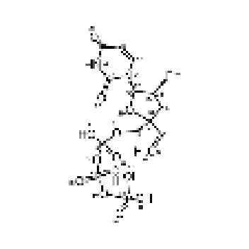 C=C[C@@]1(COP(=O)(O)OP(=O)(O)OP(=O)(O)O)C[C@H](F)[C@H](n2ccc(=O)[nH]c2=O)O1